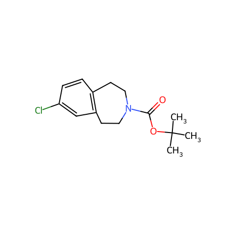 CC(C)(C)OC(=O)N1CCc2ccc(Cl)cc2CC1